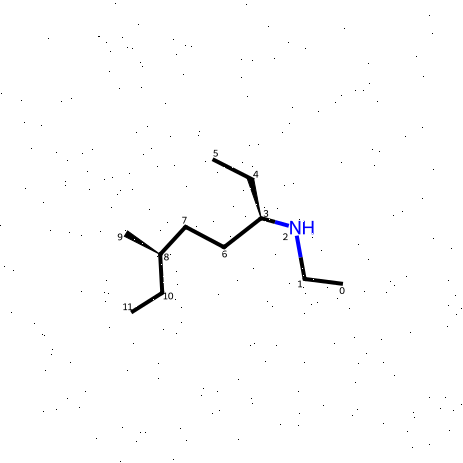 CCN[C@H](CC)CC[C@H](C)CC